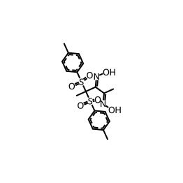 CC(=NO)C(=NO)C(C)(S(=O)(=O)c1ccc(C)cc1)S(=O)(=O)c1ccc(C)cc1